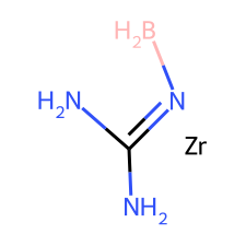 BN=C(N)N.[Zr]